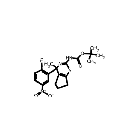 CC(C)(C)OC(=O)NC1=NC(C)(c2cc([N+](=O)[O-])ccc2F)C2=C(CCC2)S1